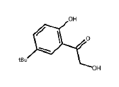 CC(C)(C)c1ccc(O)c(C(=O)CO)c1